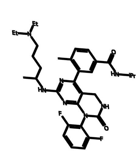 CCN(CC)CCCC(C)Nc1nc(-c2cc(C(=O)NC(C)C)ccc2C)c2c(n1)N(c1c(F)cccc1F)C(=O)NC2